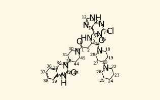 O=C(CC(Nc1nc(Cl)nc2[nH]cnc12)C(=O)N1CCC(N2CCCCC2)CC1)N1CCC(N2Cc3ccccc3NC2=O)CC1